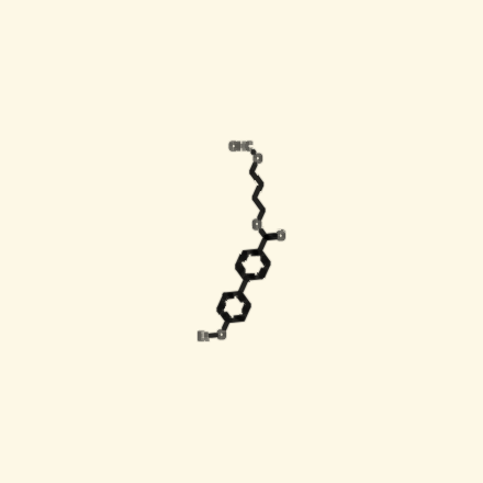 CCOc1ccc(-c2ccc(C(=O)OCCCCOC=O)cc2)cc1